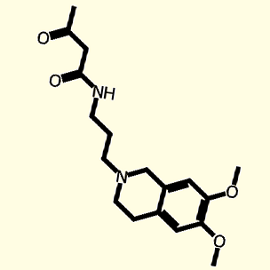 COc1cc2c(cc1OC)CN(CCCNC(=O)CC(C)=O)CC2